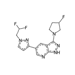 FC(F)Cn1ccc(-c2cnc3[nH]nc(N4CCC(F)C4)c3c2)n1